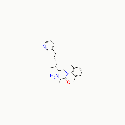 Cc1cccc(C)c1N(CCC(C)CCCc1cccnc1)C(=O)C(C)N